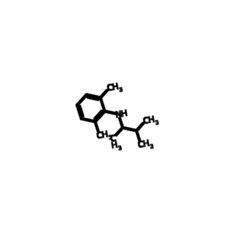 Cc1cccc(C)c1NC(C)C(C)C